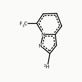 [2H]c1cc2cccc(C(F)(F)F)n2n1